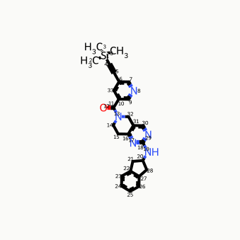 C[Si](C)(C)C#Cc1cncc(C(=O)N2CCc3nc(NC4Cc5ccccc5C4)ncc3C2)c1